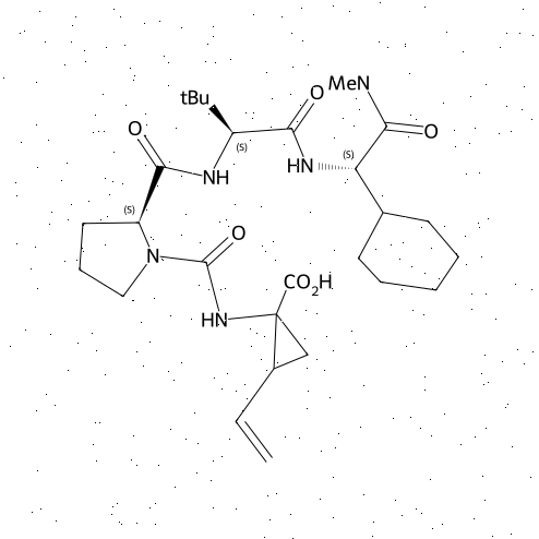 C=CC1CC1(NC(=O)N1CCC[C@H]1C(=O)N[C@H](C(=O)N[C@H](C(=O)NC)C1CCCCC1)C(C)(C)C)C(=O)O